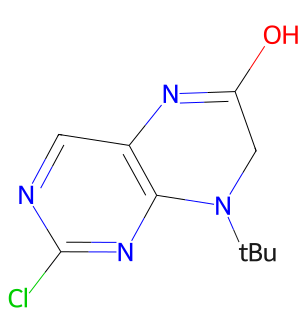 CC(C)(C)N1CC(O)=Nc2cnc(Cl)nc21